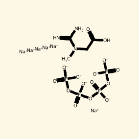 CN(CC(=O)O)C(=N)N.O=P([O-])([O-])OP(=O)([O-])OP(=O)([O-])OP(=O)([O-])[O-].[Na+].[Na+].[Na+].[Na+].[Na+].[Na+]